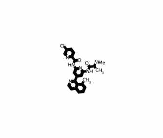 CNC(C)C(=O)Nc1cc(-c2nccc3cccc(C)c23)cc(NC(=O)c2ccc(Cl)cn2)n1